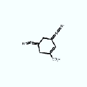 [N-]=[N+]=C1C=C(C(=O)O)CC(=[N+]=[N-])C1